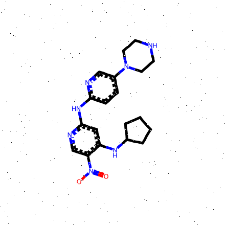 O=[N+]([O-])c1cnc(Nc2ccc(N3CCNCC3)cn2)cc1NC1CCCC1